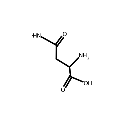 [NH]C(=O)CC(N)C(=O)O